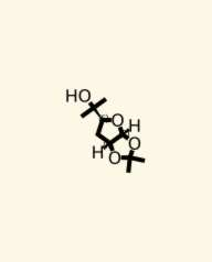 CC1(C)O[C@H]2O[C@H](C(C)(C)O)C[C@H]2O1